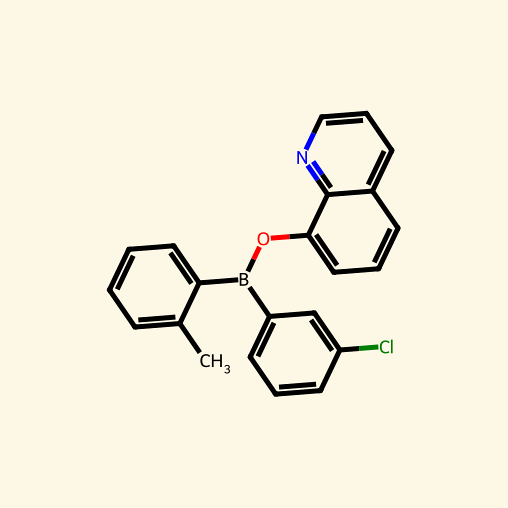 Cc1ccccc1B(Oc1cccc2cccnc12)c1cccc(Cl)c1